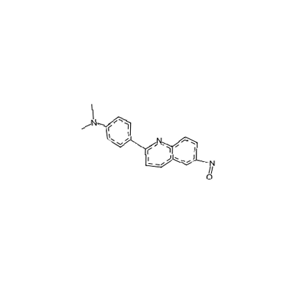 CN(C)c1ccc(-c2ccc3cc(N=O)ccc3n2)cc1